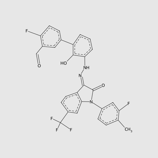 Cc1ccc(N2C(=O)/C(=N\Nc3cccc(-c4ccc(F)c(C=O)c4)c3O)c3ccc(C(F)(F)F)cc32)cc1F